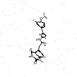 Cn1c(=O)c2c(CC(=O)Nc3nc(-c4ccc(OC(F)F)c(F)c4)cs3)coc2n(C)c1=O